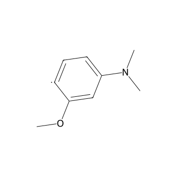 COc1[c]ccc(N(C)C)c1